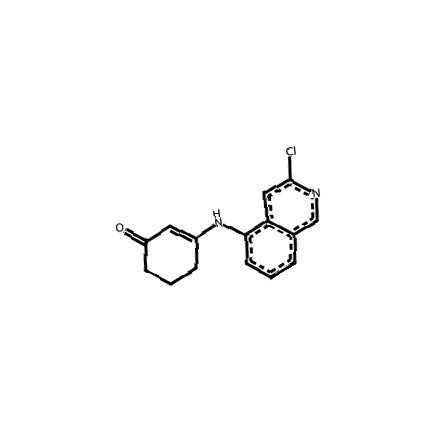 O=C1C=C(Nc2cccc3cnc(Cl)cc23)CCC1